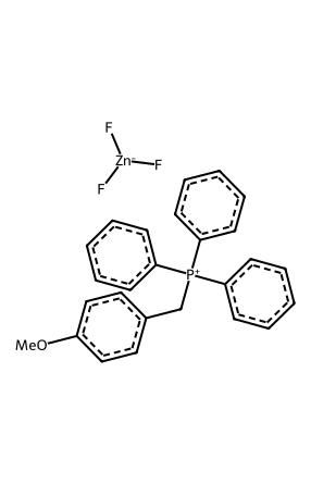 COc1ccc(C[P+](c2ccccc2)(c2ccccc2)c2ccccc2)cc1.[F][Zn-]([F])[F]